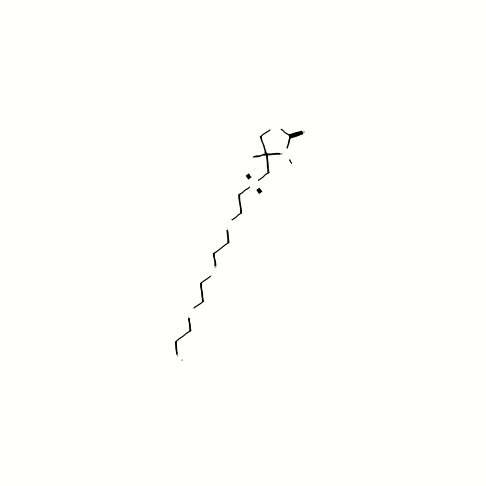 CC1(CS(=O)(=O)CCOCCOCCOCCO)COC(=O)N1Cl